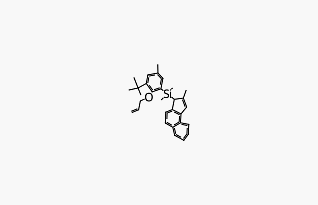 C=CCOc1c(C(C)(C)C)cc(C)cc1[Si](C)(C)C1C(C)=Cc2c1ccc1ccccc21